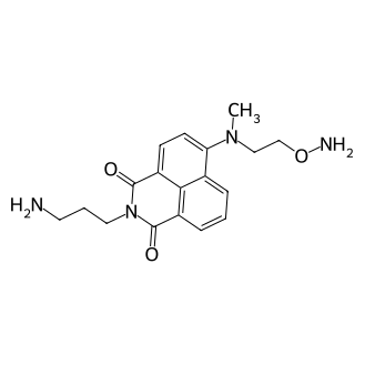 CN(CCON)c1ccc2c3c(cccc13)C(=O)N(CCCN)C2=O